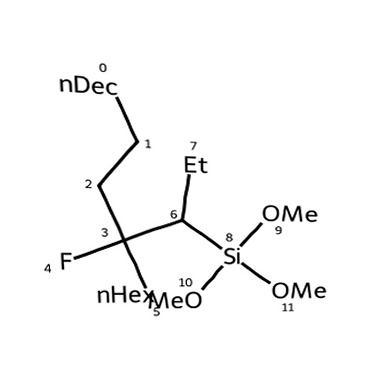 CCCCCCCCCCCCC(F)(CCCCCC)C(CC)[Si](OC)(OC)OC